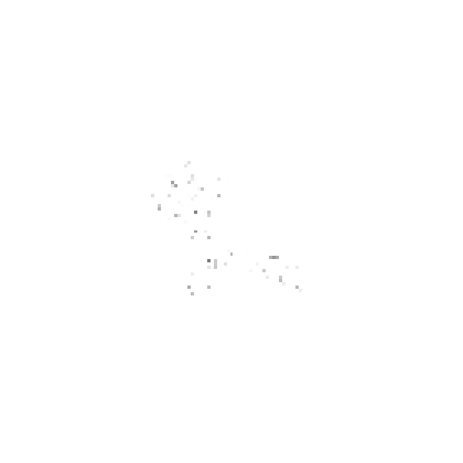 c1ccc(N(c2ccc(-c3ccc4ccccc4c3)cc2)c2ccc3cc4c(cc3c2)-c2ccccc2C4(c2ccccc2)c2ccccc2)cc1